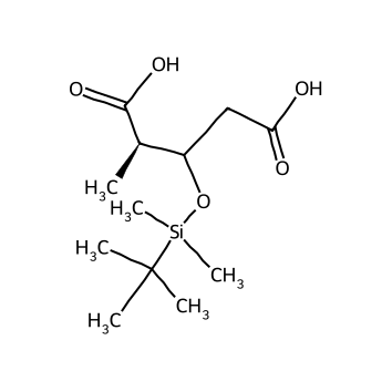 C[C@@H](C(=O)O)C(CC(=O)O)O[Si](C)(C)C(C)(C)C